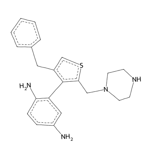 Nc1ccc(N)c(-c2c(Cc3ccccc3)csc2CN2CCNCC2)c1